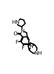 O=C1c2c(cc(N3C4CCC3CNC4)c(F)c2F)CN1C1CCCNC1